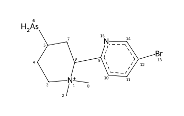 C[N+]1(C)CCC([AsH2])CC1c1ccc(Br)cn1